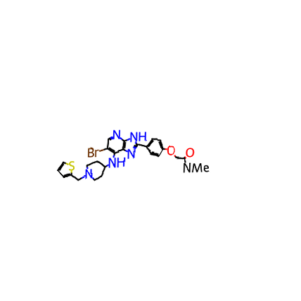 CNC(=O)COc1ccc(-c2nc3c(NC4CCN(Cc5cccs5)CC4)c(Br)cnc3[nH]2)cc1